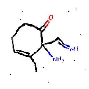 CC1=CCCC(=O)C1(N)C=N